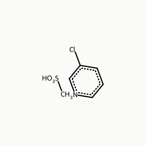 CS(=O)(=O)O.Clc1cccnc1